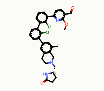 COc1nc(-c2cccc(-c3cccc(-c4cc(C)c5c(c4)CCN(C[C@@H]4CCC(=O)N4)C5)c3Cl)c2Cl)ccc1C=O